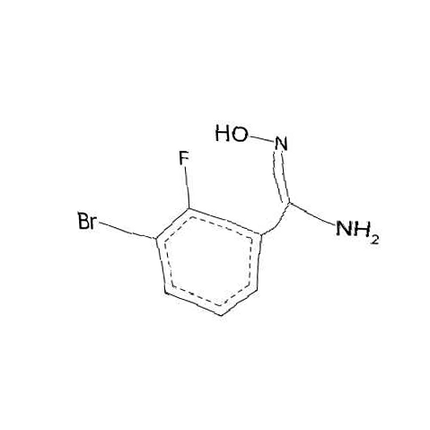 N/C(=N/O)c1cccc(Br)c1F